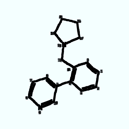 [c]1cccc(-c2cccnc2)c1CN1CCCC1